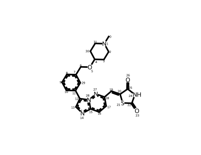 CN1CCC(OCc2cccc(-c3cnc4ccc(/C=C5\SC(=O)NC5=O)nn34)c2)CC1